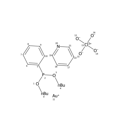 CCCCOP(OCCCC)c1ccccc1.[Au+].[O-][Cl+3]([O-])([O-])[O-].c1ccncc1